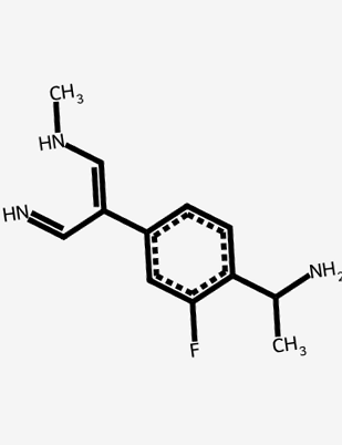 CN/C=C(\C=N)c1ccc(C(C)N)c(F)c1